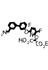 CCOC(=O)C(Oc1nc(Oc2cccc(-c3cccc(CN)c3)c2)c(F)cc1F)C(=O)O